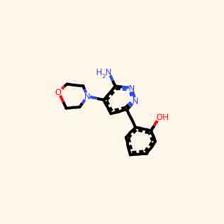 Nc1nnc(-c2ccccc2O)cc1N1CCOCC1